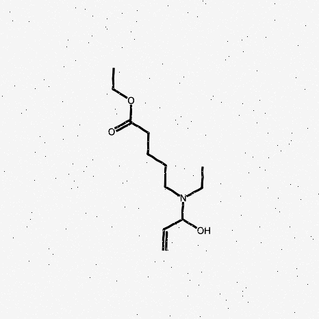 C=CC(O)N(CC)CCCCC(=O)OCC